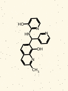 Cc1ccc2ccc(C(Nc3ncccc3O)c3cccnc3)c(O)c2n1